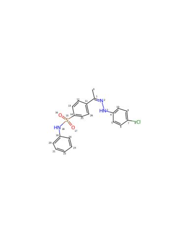 CC(=NNc1ccc(Cl)cc1)c1ccc(S(=O)(=O)Nc2ccccc2)cc1